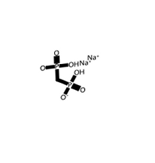 O=P([O-])(O)CP(=O)([O-])O.[Na+].[Na+]